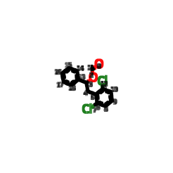 O=[C]OC(Cc1c(Cl)cccc1Cl)c1ccccc1